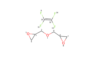 C(OCC1CO1)C1CO1.FC(F)=C(F)F